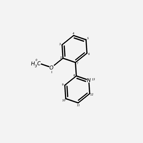 COc1ccccc1-c1[c]cccn1